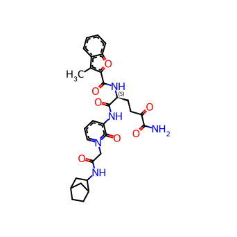 Cc1c(C(=O)N[C@@H](CCC(=O)C(N)=O)C(=O)Nc2cccn(CC(=O)NC3CC4CCC3C4)c2=O)oc2ccccc12